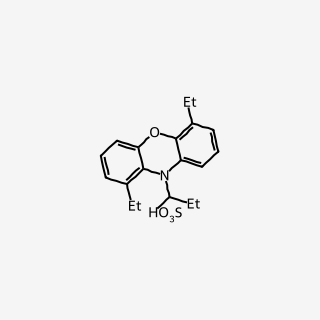 CCc1cccc2c1Oc1cccc(CC)c1N2C(CC)S(=O)(=O)O